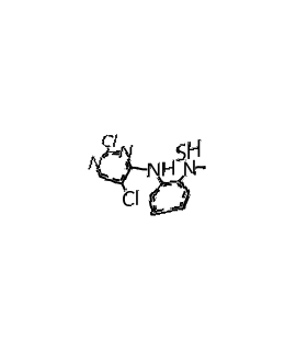 CN(S)c1ccccc1Nc1nc(Cl)ncc1Cl